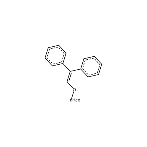 CCCCCCOC=C(c1ccccc1)c1ccccc1